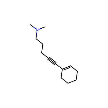 CN(C)CCCC#CC1=CC[CH]CC1